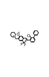 COc1cc(/C=C/c2cccc(C3=CCCC=C3)c2Cl)c(C(F)(F)F)cc1CN1CCCCC1